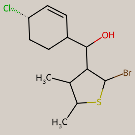 CC1SC(Br)C(C(O)C2C=C[C@@H](Cl)CC2)C1C